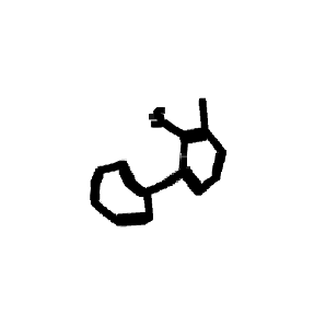 Cc1cccc(-c2ccccc2)c1[S]